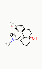 COc1ccc2c(c1)C1(CCN(C)C)CCCCC1(O)CC2